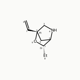 C=C[C@@]12CNC(C1)[C@H](CC)O2